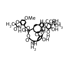 C=C1Oc2cc(OC)cc(C(=O)O[C@H]3COC(=O)C[C@H](N)c4cc(O)c(c(Cl)c4)O[C@@H]4C#CCC3C#CC3=CC=CC34O[C@@H]3OC(C)(C)[C@@H](N(C)C)[C@@H](O)[C@H]3O)c2NC1=O